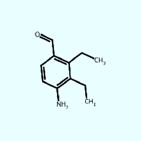 CCc1c(N)ccc(C=O)c1CC